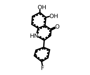 O=c1cc(-c2ccc(F)cc2)[nH]c2ccc(O)c(O)c12